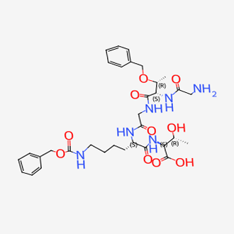 C[C@@H](O)[C@H](NC(=O)[C@H](CCCCNC(=O)OCc1ccccc1)NC(=O)CNC(=O)[C@@H](NC(=O)CN)[C@@H](C)OCc1ccccc1)C(=O)O